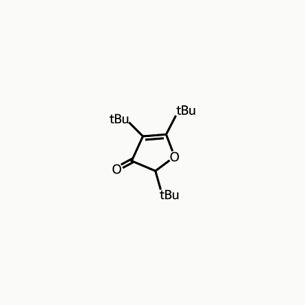 CC(C)(C)C1=C(C(C)(C)C)C(=O)C(C(C)(C)C)O1